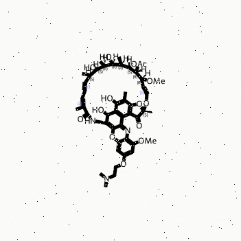 COc1cc(OCCN(C)C)cc2c1N=C1C(=C3NC(=O)/C(C)=C\C=C\[C@H](C)[C@H](O)[C@@H](C)[C@@H](O)[C@@H](C)[C@H](OC(C)=O)[C@H](C)[C@@H](OC)/C=C/O[C@@]4(C)Oc5c(C)c(O)c(c1c5C4=O)C3O)O2